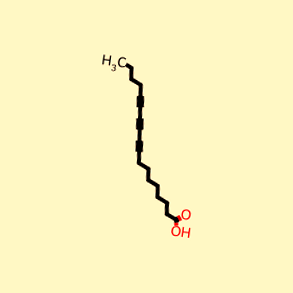 CCCCC#CC#CC#CCCCCCCCC(=O)O